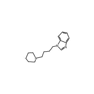 [CH]1CCN(CCCCn2cnc3ccccc32)CC1